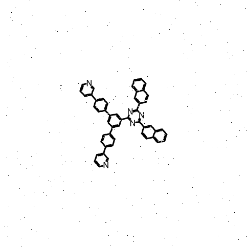 c1cncc(-c2ccc(-c3cc(-c4ccc(-c5cccnc5)cc4)cc(-c4nc(-c5ccc6ccccc6c5)nc(-c5ccc6ccccc6c5)n4)c3)cc2)c1